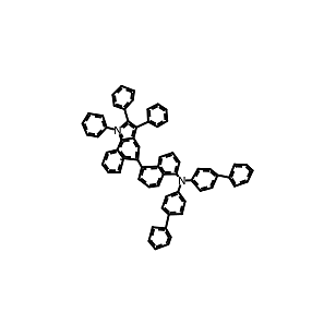 c1ccc(-c2ccc(N(c3ccc(-c4ccccc4)cc3)c3cccc4c(-c5cc6c(-c7ccccc7)c(-c7ccccc7)n(-c7ccccc7)c6c6ccccc56)cccc34)cc2)cc1